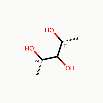 C[C@H](O)C(O)[C@@H](C)O